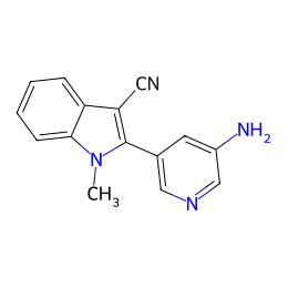 Cn1c(-c2cncc(N)c2)c(C#N)c2ccccc21